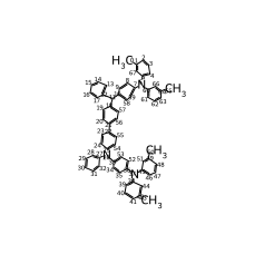 Cc1cccc(N(c2ccc(C(c3ccccc3)c3ccc(-c4ccc(N(c5ccccc5)c5ccc(N(c6cccc(C)c6)c6cccc(C)c6)cc5)cc4)cc3)cc2)c2cccc(C)c2)c1